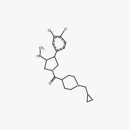 CNC1CN(C(=O)C2CCN(CC3CC3)CC2)CC1c1ccc(Cl)c(Cl)c1